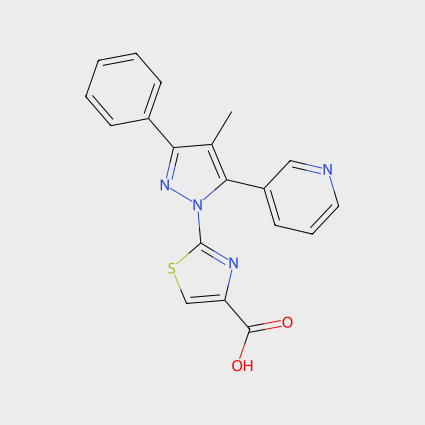 Cc1c(-c2ccccc2)nn(-c2nc(C(=O)O)cs2)c1-c1cccnc1